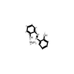 Oc1ccccc1/N=N/c1ccccc1O.[MgH2]